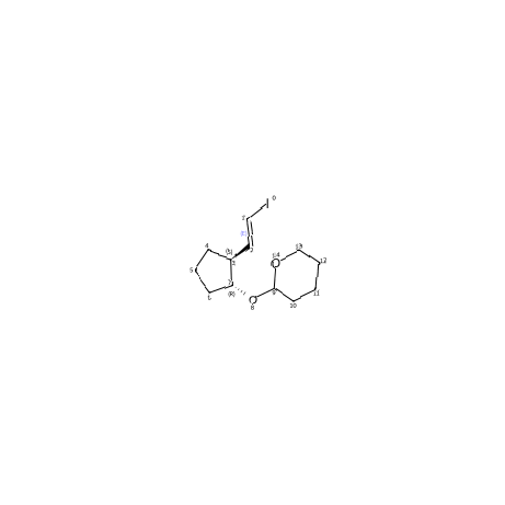 I/C=C/[C@@H]1CCC[C@H]1OC1CCCCO1